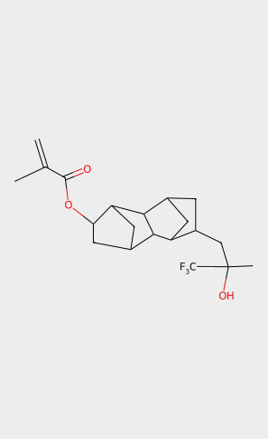 C=C(C)C(=O)OC1CC2CC1C1C3CC(CC(C)(O)C(F)(F)F)C(C3)C21